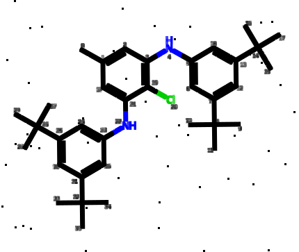 Cc1cc(Nc2cc(C(C)(C)C)cc(C(C)(C)C)c2)c(Cl)c(Nc2cc(C(C)(C)C)cc(C(C)(C)C)c2)c1